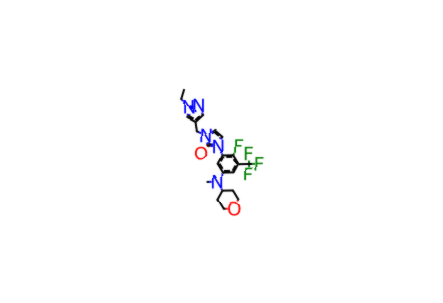 CCn1cc(Cn2ccn(-c3cc(N(C)C4CCOCC4)cc(C(F)(F)F)c3F)c2=O)cn1